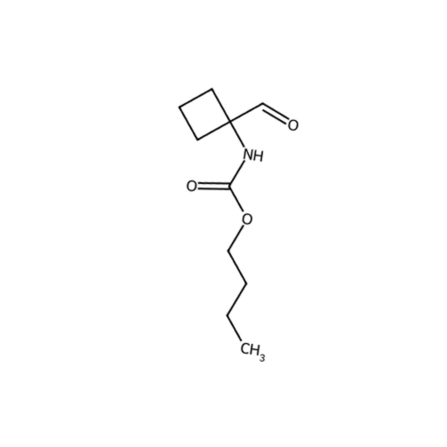 CCCCOC(=O)NC1(C=O)CCC1